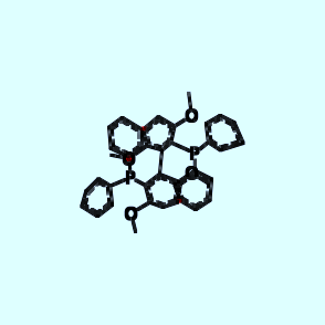 COc1ccc(OC)c(P(c2ccccc2)c2ccccc2)c1-c1c(OC)ccc(OC)c1P(c1ccccc1)c1ccccc1